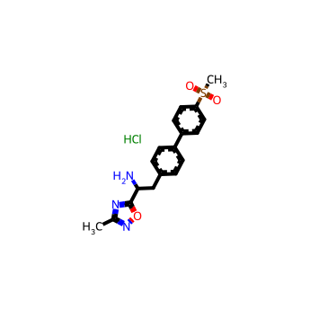 Cc1noc(C(N)Cc2ccc(-c3ccc(S(C)(=O)=O)cc3)cc2)n1.Cl